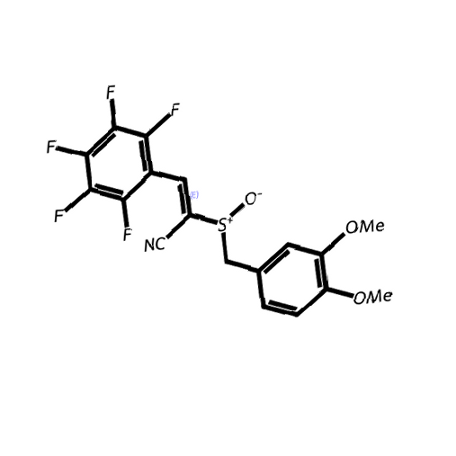 COc1ccc(C[S+]([O-])/C(C#N)=C/c2c(F)c(F)c(F)c(F)c2F)cc1OC